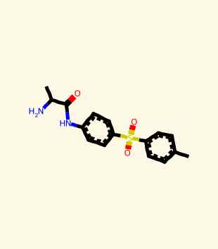 Cc1ccc(S(=O)(=O)c2ccc(NC(=O)C(C)N)cc2)cc1